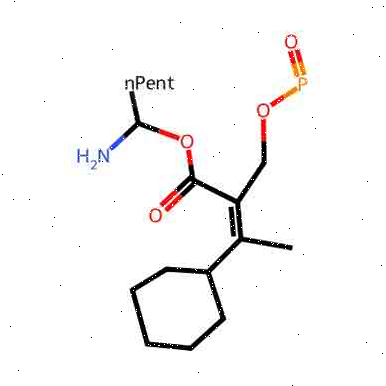 CCCCCC(N)OC(=O)/C(COP=O)=C(/C)C1CCCCC1